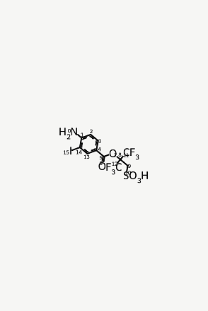 Nc1ccc(C(=O)OC(CS(=O)(=O)O)(C(F)(F)F)C(F)(F)F)cc1I